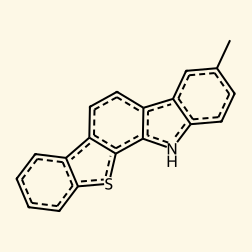 Cc1ccc2[nH]c3c(ccc4c5ccccc5sc43)c2c1